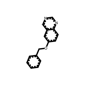 [c]1ncnc2ccc(OCc3ccccc3)cc12